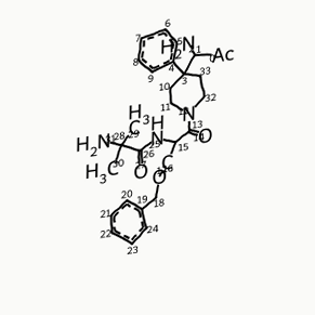 CC(=O)C(N)C1(c2ccccc2)CCN(C(=O)C(COCc2ccccc2)NC(=O)C(C)(C)N)CC1